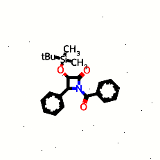 CC(C)(C)[Si](C)(C)OC1C(=O)N(C(=O)c2ccccc2)C1c1ccccc1